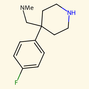 CNCC1(c2ccc(F)cc2)CCNCC1